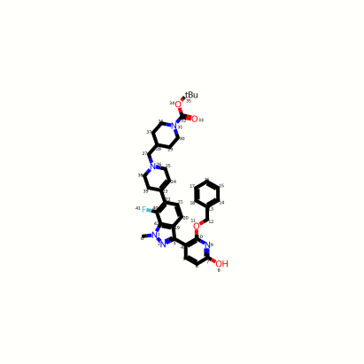 Cn1nc(-c2ccc(O)nc2OCc2ccccc2)c2ccc(C3=CCN(CC4CCN(C(=O)OC(C)(C)C)CC4)CC3)c(F)c21